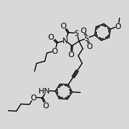 CCCCOC(=O)Nc1ccc(C)c(C#CCCCC2(S(=O)(=O)c3ccc(OC)cc3)SC(=O)N(C(=O)OCCCC)C2=O)c1